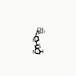 CNCc1ccc(-c2cc3nccc(I)c3s2)nc1